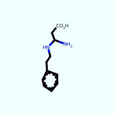 NC(CC(=O)O)NCCc1ccccc1